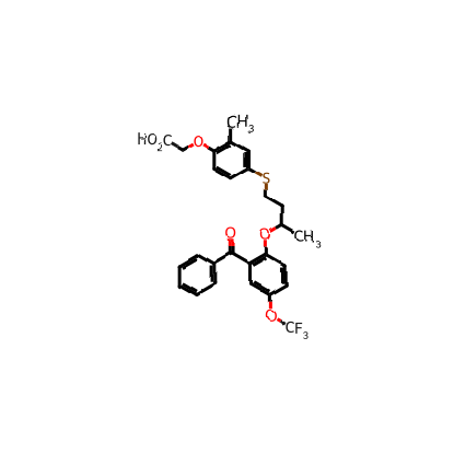 Cc1cc(SCCC(C)Oc2ccc(OC(F)(F)F)cc2C(=O)c2ccccc2)ccc1OCC(=O)O